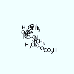 COCc1nc2ccc(-c3ccnc4c3cc([C@H](C)N3CCC(c5ccc(C(=O)O)cc5)CC3)n4C)cc2n1COCC[Si](C)(C)C